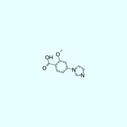 COc1cc(-n2ccnc2)ccc1C(=O)O